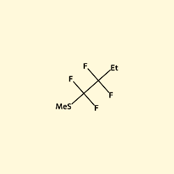 CCC(F)(F)C(F)(F)SC